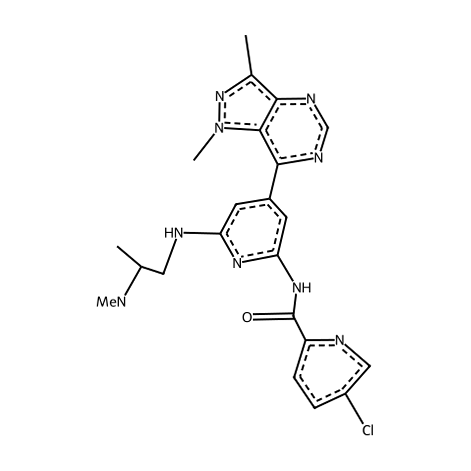 CNC(C)CNc1cc(-c2ncnc3c(C)nn(C)c23)cc(NC(=O)c2ccc(Cl)cn2)n1